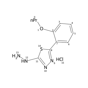 CCCOc1ccccc1-c1nnc(NN)s1.Cl